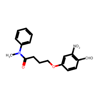 CN(C(=O)CCCOc1ccc(C=O)c([N+](=O)[O-])c1)c1ccccc1